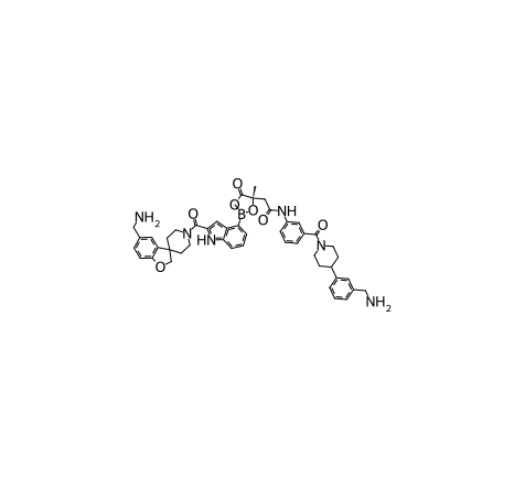 C[C@@]1(CC(=O)Nc2cccc(C(=O)N3CCC(c4cccc(CN)c4)CC3)c2)OB(c2cccc3[nH]c(C(=O)N4CCC5(CC4)COc4ccc(CN)cc45)cc23)OC1=O